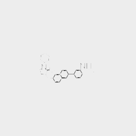 Nc1cccc(-c2ccc3cc(CC4CCN(C5CCCCC5)C4=O)ccc3c2)c1